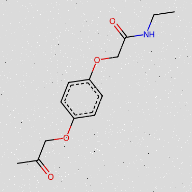 CCNC(=O)COc1ccc(OCC(C)=O)cc1